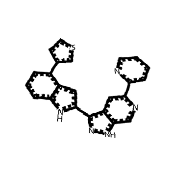 c1ccc(-c2cc3c(-c4cc5c(-c6ccsc6)cccc5[nH]4)n[nH]c3cn2)nc1